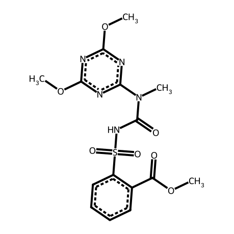 COC(=O)c1ccccc1S(=O)(=O)NC(=O)N(C)c1nc(OC)nc(OC)n1